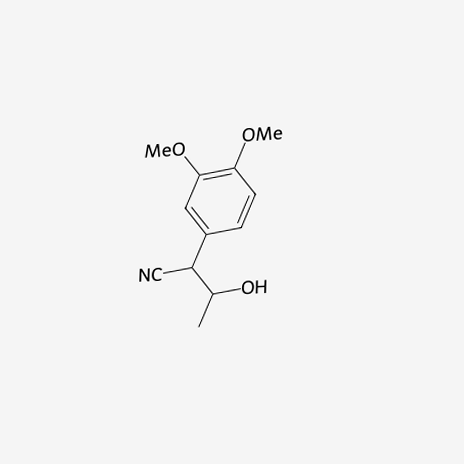 COc1ccc(C(C#N)C(C)O)cc1OC